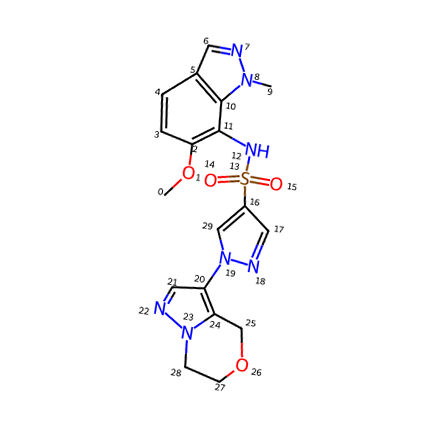 COc1ccc2cnn(C)c2c1NS(=O)(=O)c1cnn(-c2cnn3c2COCC3)c1